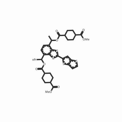 CCCC(OC(=O)C1CCC(C(=O)OC)CC1)c1ccc(C(C)OC(=O)C2CCC(C(=O)OC)CC2)c2sc(-c3cc4sccc4s3)nc12